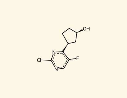 O[C@@H]1CC[C@H](c2nc(Cl)ncc2F)C1